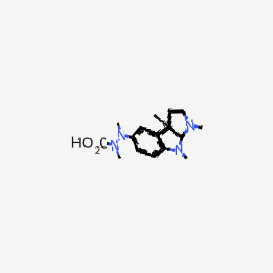 CN1CC[C@@]2(C)c3cc(N(C)N(C)C(=O)O)ccc3N(C)C12